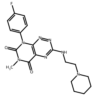 Cn1c(=O)c2nc(NCCN3CCCCC3)nnc2n(-c2ccc(F)cc2)c1=O